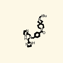 CC(C)(C)CN1CC2(CCN(C(=O)c3ccc(CN(Cc4ncc[nH]4)Cc4ncc[nH]4)cc3)CC2)C1